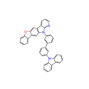 c1cc(-c2cccc(-n3c4cc5c(cc4c4cccnc43)oc3ccccc35)c2)cc(-n2c3ccccc3c3ccccc32)c1